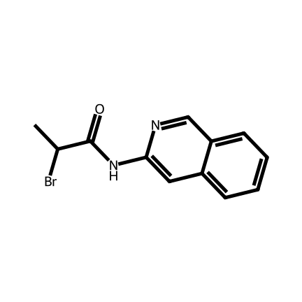 CC(Br)C(=O)Nc1cc2ccccc2cn1